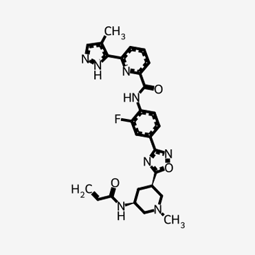 C=CC(=O)N[C@H]1C[C@@H](c2nc(-c3ccc(NC(=O)c4cccc(-c5[nH]ncc5C)n4)c(F)c3)no2)CN(C)C1